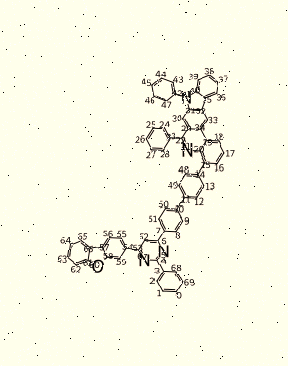 c1ccc(-c2nc(-c3ccc(-c4ccc(-c5cccc6c5nc(-c5ccccc5)c5cc7c(cc56)c5ccccc5n7-c5ccccc5)cc4)cc3)cc(-c3ccc4c(c3)oc3ccccc34)n2)cc1